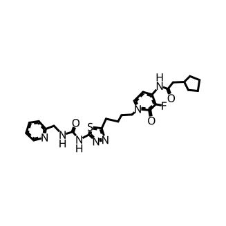 O=C(CC1CCCC1)Nc1ccn(CCCCc2nnc(NC(=O)NCc3ccccn3)s2)c(=O)c1F